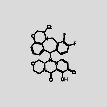 CCC1COc2cccc3c2N1Cc1c(ccc(F)c1F)C3N1C2COCCN2C(=O)c2c(O)c(=O)ccn21